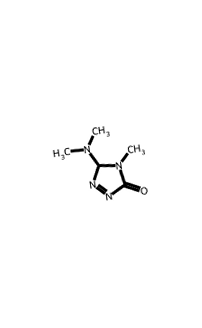 CN(C)C1N=NC(=O)N1C